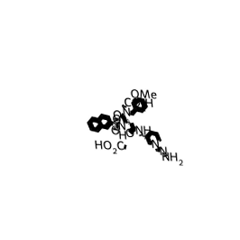 CC(=O)O.COc1cccc(CN(CC(=O)O)C(=O)[C@H](CC(=O)NC[C@@H]2CCCN(C=NN)C2)NS(=O)(=O)c2ccc3ccccc3c2)c1